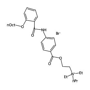 CCCCCCCCOc1ccccc1C(=O)Nc1ccc(C(=O)OCC[N+](CC)(CC)CCC)cc1.[Br-]